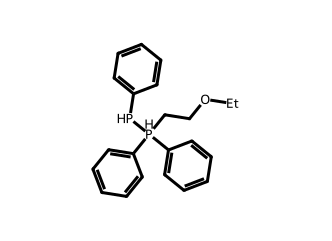 CCOCC[PH](Pc1ccccc1)(c1ccccc1)c1ccccc1